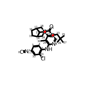 [C-]#[N+]c1ccc(Nc2ncnc(OC3C4CCC3CN(C(=O)OCC(C)(C)C)C4)c2C)c(Cl)c1